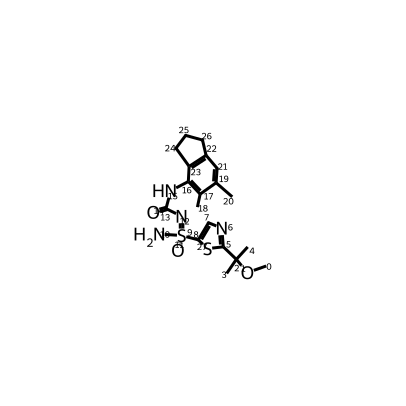 COC(C)(C)c1ncc(S(N)(=O)=NC(=O)Nc2c(C)c(C)cc3c2CCC3)s1